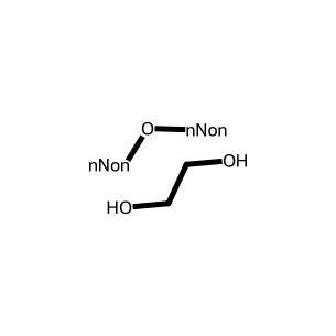 CCCCCCCCCOCCCCCCCCC.OCCO